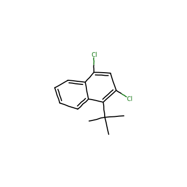 CC(C)(C)c1c(Cl)cc(Cl)c2ccccc12